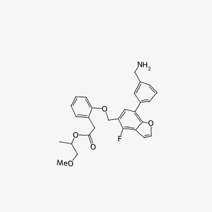 COCC(C)OC(=O)Cc1ccccc1OCc1cc(-c2cccc(CN)c2)c2occc2c1F